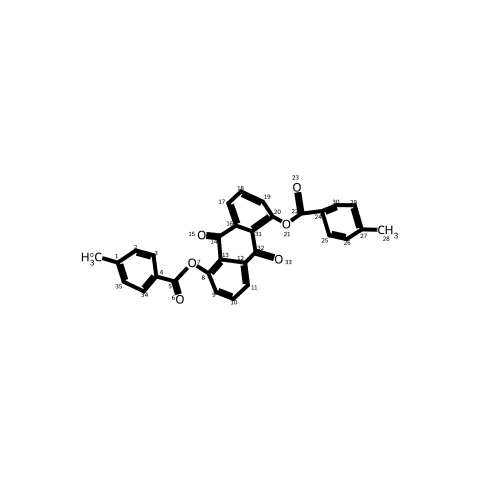 Cc1ccc(C(=O)Oc2cccc3c2C(=O)c2cccc(OC(=O)c4ccc(C)cc4)c2C3=O)cc1